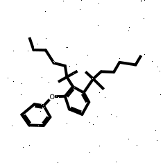 CCCCCC(C)(C)c1cccc(Oc2ccccc2)c1C(C)(C)CCCCC